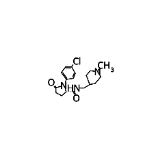 CN1CCC(CNC(=O)[C@@H]2CCC(=O)N2c2ccc(Cl)cc2)CC1